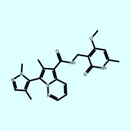 COc1cc(C)[nH]c(=O)c1CNC(=O)c1c(C)c(-c2c(C)cnn2C)n2ncccc12